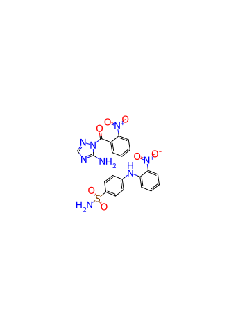 NS(=O)(=O)c1ccc(Nc2ccccc2[N+](=O)[O-])cc1.Nc1ncnn1C(=O)c1ccccc1[N+](=O)[O-]